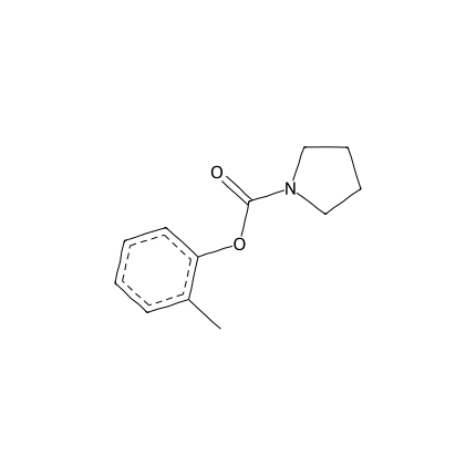 Cc1ccccc1OC(=O)N1CCCC1